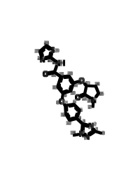 Cc1nc(-c2ccc(Oc3cc(OC4CCN(C)C4=O)cc(C(=O)Nc4nccs4)c3)cc2)n(C)n1